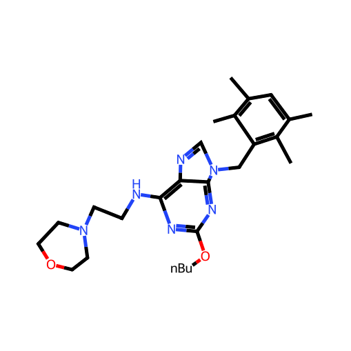 CCCCOc1nc(NCCN2CCOCC2)c2ncn(Cc3c(C)c(C)cc(C)c3C)c2n1